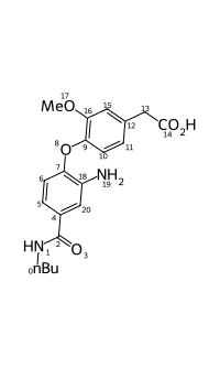 CCCCNC(=O)c1ccc(Oc2ccc(CC(=O)O)cc2OC)c(N)c1